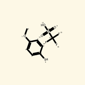 COc1ccc(S)cc1.O=S(=O)(O)C(F)(F)F